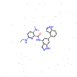 CCNc1ccc(N(C)C)c(C(=O)Nc2cc(-c3cccc4[nH]ccc34)cc3[nH]ncc23)n1